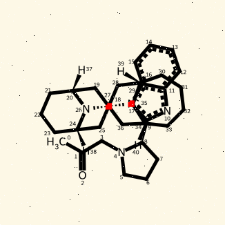 CC(=O)CN1CCC[C@@H]1c1nc2ccccc2n1[C@H]1C[C@H]2CCC[C@@H](C1)N2[C@@H]1C[C@@H]2CCCC[C@@H](C2)C1